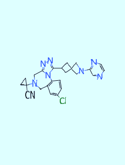 N#CC1(N2Cc3cc(Cl)ccc3-n3c(nnc3C3CC4(C3)CN(c3cnccn3)C4)C2)CC1